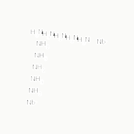 N.N.N.N.N.N.N.N.N.N.[Nb].[Nb]